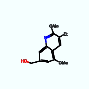 CCc1cc2c(OC)cc(CO)cc2nc1OC